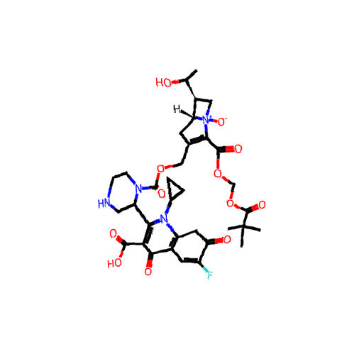 CC(O)[C@H]1C[N+]2([O-])C(C(=O)OCOC(=O)C(C)(C)C)=C(COC(=O)N3CCNCC3c3c(C(=O)O)c(=O)c4c(n3C3CC3)CC(=O)C(F)=C4)C[C@H]12